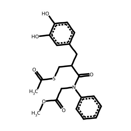 COC(=O)CN(C(=O)C(CSC(C)=O)Cc1ccc(O)c(O)c1)c1ccccc1